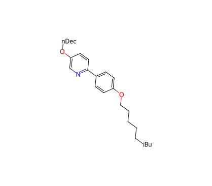 CCCCCCCCCCOc1ccc(-c2ccc(OCCCCCC(C)CC)cc2)nc1